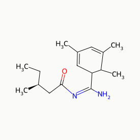 CC[C@H](C)CC(=O)/N=C(/N)C1C=C(C)C=C(C)C1C